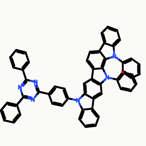 c1ccc(-c2nc(-c3ccccc3)nc(-c3ccc(-n4c5ccccc5c5cc6c(cc54)c4ccc5c7ccccc7n(-c7ccccc7)c5c4n6-c4ccccc4)cc3)n2)cc1